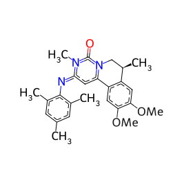 COc1cc2c(cc1OC)[C@H](C)Cn1c-2cc(=Nc2c(C)cc(C)cc2C)n(C)c1=O